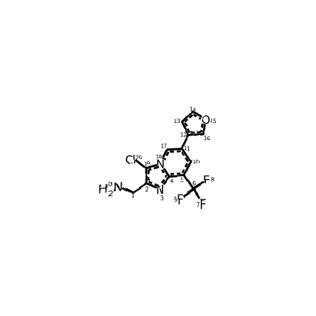 NCc1nc2c(C(F)(F)F)cc(-c3ccoc3)cn2c1Cl